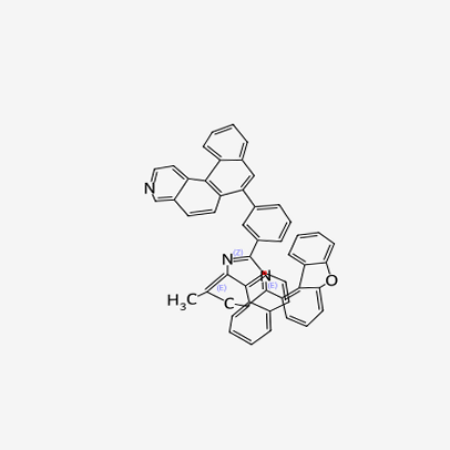 C\C1=C(c2cccc3ccccc23)/N=C(c2cccc(-c3cc4ccccc4c4c3ccc3cnccc34)c2)\N=C(\c2cccc3oc4ccccc4c23)CC1